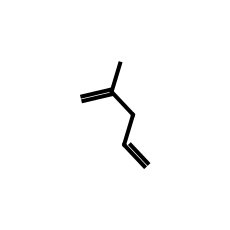 C=CCC(=C)C